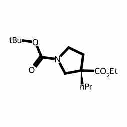 CCC[C@]1(C(=O)OCC)CCN(C(=O)OC(C)(C)C)C1